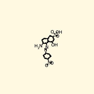 Nc1ccc2cc(S(=O)(=O)O)cc(O)c2c1/N=N/c1ccc([N+](=O)[O-])cc1